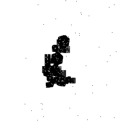 C=CC(=O)N1C2C[C@@H](C1c1nc(-c3ccc(C(=O)Nc4ccccn4)cc3)c3c(N)nccn13)N(C(C)=O)C2